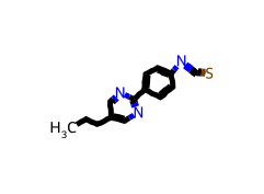 CCCc1cnc(-c2ccc(N=C=S)cc2)nc1